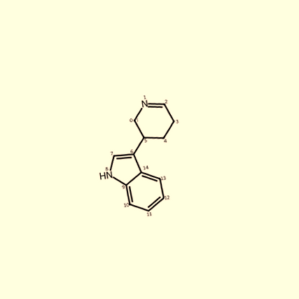 [C]1N=CCCC1c1c[nH]c2ccccc12